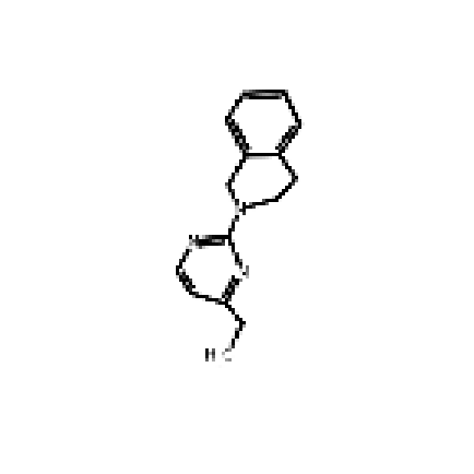 CCc1ccnc(N2CCc3ccccc3C2)n1